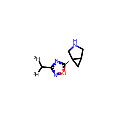 [2H]C([2H])c1noc([C@]23CNCC2C3)n1